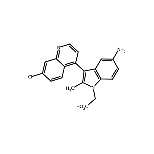 Cc1c(-c2ccnc3cc(Cl)ccc23)c2cc(N)ccc2n1CC(=O)O